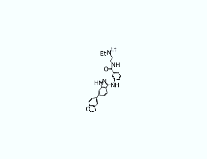 CCN(CC)CCNC(=O)c1cccc(Nc2n[nH]c3cc(-c4ccc5c(c4)CCO5)ccc23)c1